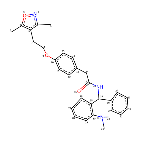 Cc1noc(C)c1CCOc1ccc(CC(=O)NC(c2ccccc2)c2ccccc2N(C)C)cc1